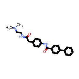 CN(C)CCNC(=O)Cc1ccc(NC(=O)c2ccc(-c3ccccc3)cc2)cc1